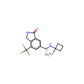 C[C@@H](NC1(C)CCC1)c1cc2c(c(C(F)(F)F)c1)CNC2=O